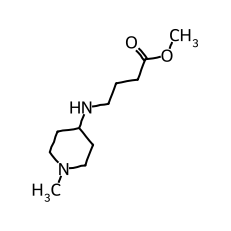 COC(=O)CCCNC1CCN(C)CC1